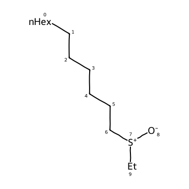 CCCCCCCCCCCC[S+]([O-])CC